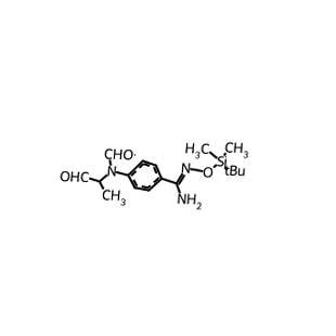 CC(C=O)N([C]=O)c1ccc(C(N)=NO[Si](C)(C)C(C)(C)C)cc1